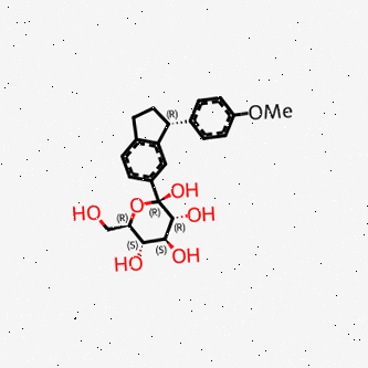 COc1ccc([C@H]2CCc3ccc([C@@]4(O)O[C@H](CO)[C@@H](O)[C@H](O)[C@H]4O)cc32)cc1